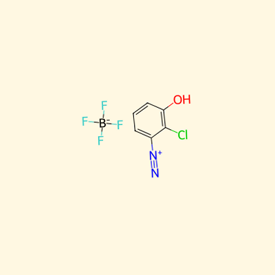 F[B-](F)(F)F.N#[N+]c1cccc(O)c1Cl